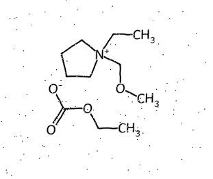 CCOC(=O)[O-].CC[N+]1(COC)CCCC1